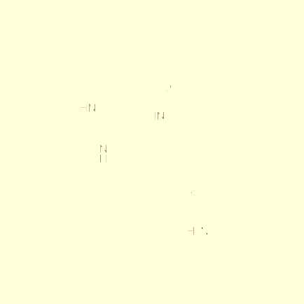 Cc1ccc(NC2CNC2)cc1C(=O)NC1(c2cccc(-c3ccc(CN)s3)c2)CC1